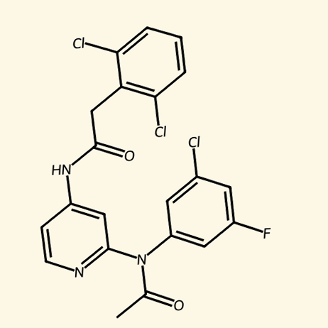 CC(=O)N(c1cc(F)cc(Cl)c1)c1cc(NC(=O)Cc2c(Cl)cccc2Cl)ccn1